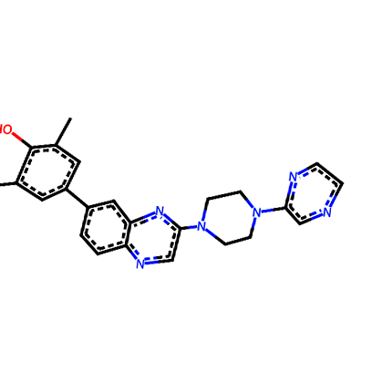 Cc1cc(-c2ccc3ncc(N4CCN(c5cnccn5)CC4)nc3c2)cc(C)c1O